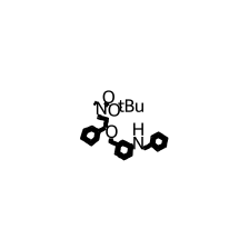 CN(CCC(OCc1cccc(NCc2ccccc2)c1)c1ccccc1)C(=O)OC(C)(C)C